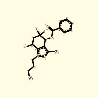 O=C(O[C@H]1c2c(C(F)(F)F)nn(CCCC(F)(F)F)c2C(Br)CC1(F)F)c1ccccc1